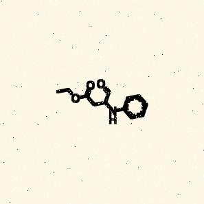 CCOC(=O)CC(C=O)Nc1ccccc1